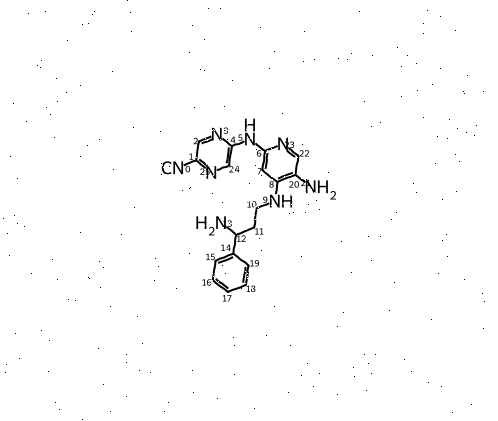 [C-]#[N+]c1cnc(Nc2cc(NCCC(N)c3ccccc3)c(N)cn2)cn1